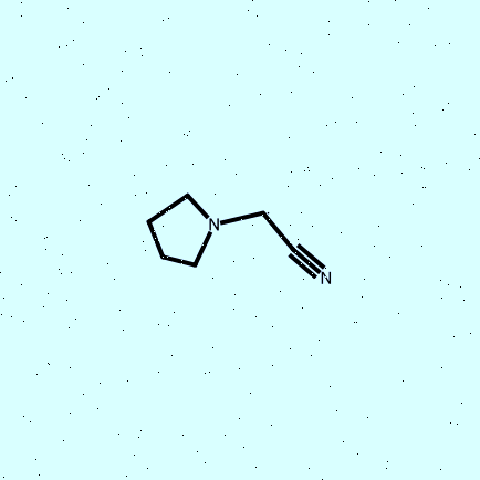 N#C[CH]N1CCCC1